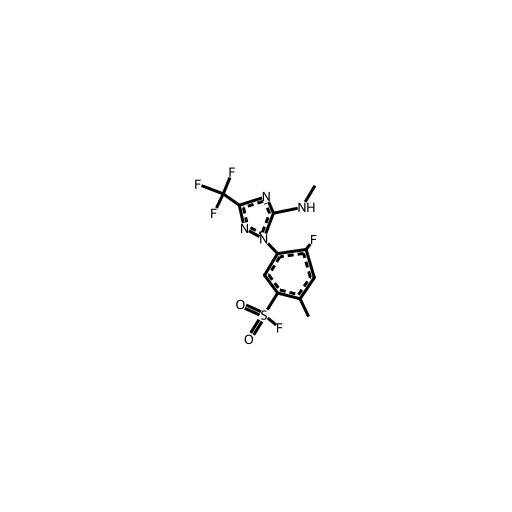 CNc1nc(C(F)(F)F)nn1-c1cc(S(=O)(=O)F)c(C)cc1F